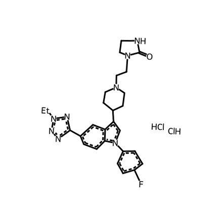 CCn1nnc(-c2ccc3c(c2)c(C2CCN(CCN4CCNC4=O)CC2)cn3-c2ccc(F)cc2)n1.Cl.Cl